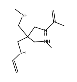 C=CNCC(CNC)(CNC)CNC(=C)C